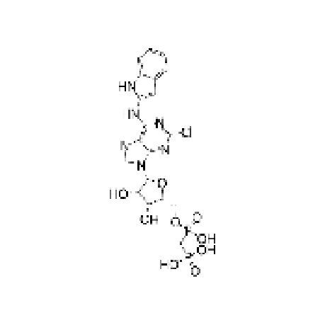 O=P(O)(O)CP(=O)(O)OC[C@H]1O[C@@H](n2cnc3c(Nc4cc5ccccc5[nH]4)nc(Cl)nc32)C(O)C1O